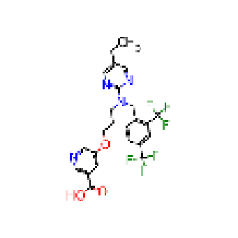 CCc1cnc(N(CCCOc2cncc(C(=O)O)c2)Cc2ccc(C(F)(F)F)cc2C(F)(F)F)nc1